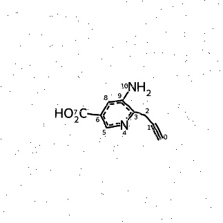 C#CCc1ncc(C(=O)O)cc1N